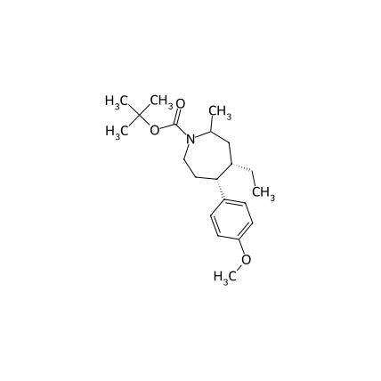 CC[C@H]1CC(C)N(C(=O)OC(C)(C)C)CC[C@H]1c1ccc(OC)cc1